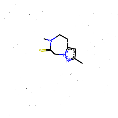 Cc1cc2n(n1)CC(=S)N(C)CC2